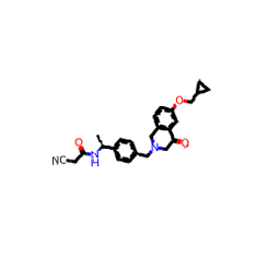 C[C@H](NC(=O)CC#N)c1ccc(CN2CC(=O)c3cc(OCC4CC4)ccc3C2)cc1